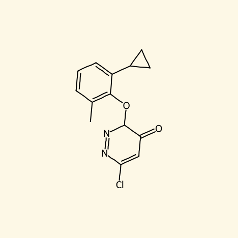 Cc1cccc(C2CC2)c1OC1N=NC(Cl)=CC1=O